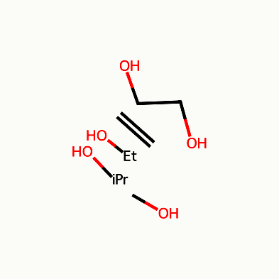 C=C.CC(C)O.CCO.CO.OCCO